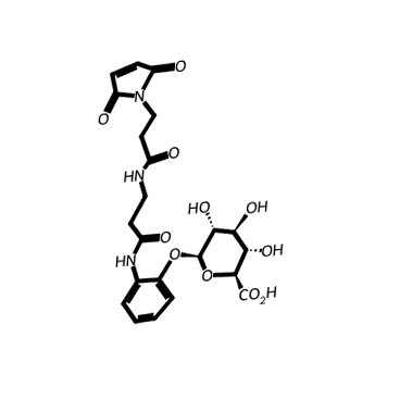 O=C(CCN1C(=O)C=CC1=O)NCCC(=O)Nc1ccccc1O[C@@H]1O[C@H](C(=O)O)[C@@H](O)[C@H](O)[C@H]1O